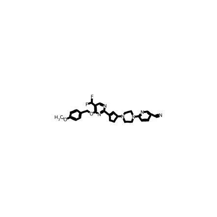 COc1ccc(COc2nc(C3=CC(N4CCN(c5ccc(C#N)cn5)CC4)CC3)ncc2C(F)F)cc1